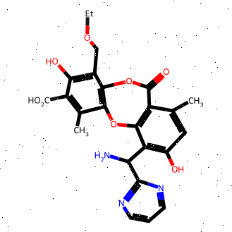 CCOCc1c(O)c(C(=O)O)c(C)c2c1OC(=O)c1c(C)cc(O)c(C(N)c3ncccn3)c1O2